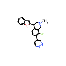 CN1Cc2c(ccc(-c3ccnnc3)c2F)C(c2cc3ccccc3o2)C1